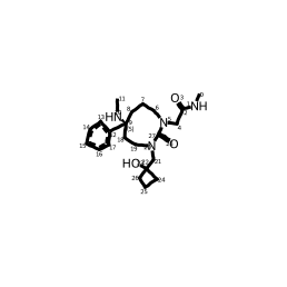 CNC(=O)CN1CCC[C@@](NC)(c2ccccc2)CCN(CC2(O)CCC2)C1=O